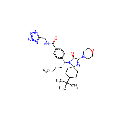 CCCC[C@H](c1ccc(C(=O)NCc2nn[nH]n2)cc1)N1C(=O)C(N2CCOCC2)=NC12CCC(C(C)(C)C)CC2